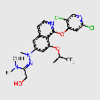 CCN(C=O)/C(CO)=N\N(C)c1cc(OC(C)C(F)(F)F)c2c(Oc3cc(Cl)ncc3Cl)nccc2c1